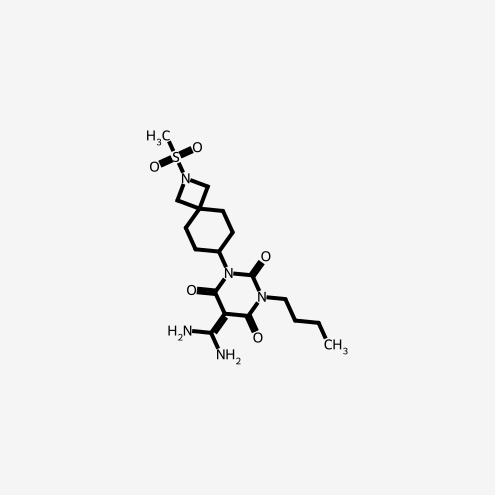 CCCCN1C(=O)C(=C(N)N)C(=O)N(C2CCC3(CC2)CN(S(C)(=O)=O)C3)C1=O